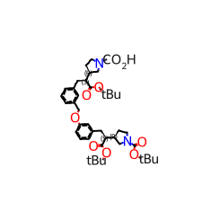 CC(C)(C)OC(=O)[C@@H](Cc1cccc(COc2cccc(C[C@H](C(=O)OC(C)(C)C)[C@H]3CCN(C(=O)OC(C)(C)C)C3)c2)c1)[C@H]1CCN(C(=O)O)C1